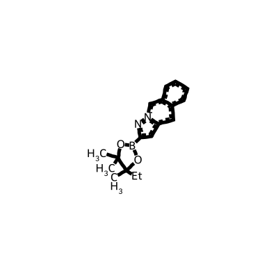 CCC1(C)OB(c2cc3cc4ccccc4cn3n2)OC1(C)C